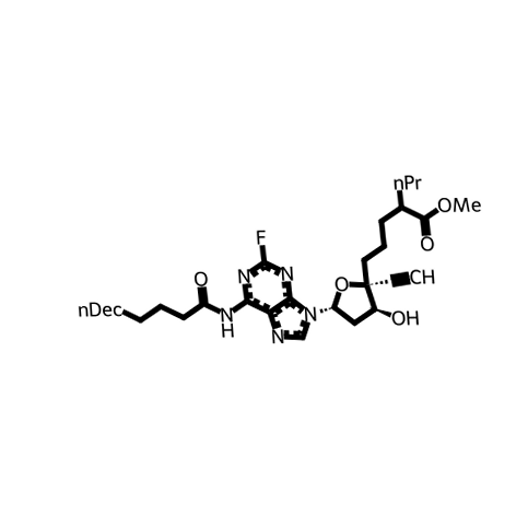 C#C[C@@]1(CCCC(CCC)C(=O)OC)O[C@@H](n2cnc3c(NC(=O)CCCCCCCCCCCCC)nc(F)nc32)C[C@@H]1O